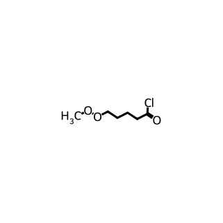 COOCCCCC(=O)Cl